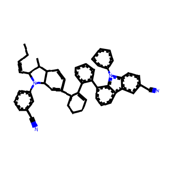 CC/C=C\C1C(C)C2C=CC(C3CCCC=C3c3ccccc3-c3cccc4c5cc(C#N)ccc5n(-c5ccccc5)c34)=CC2N1c1cccc(C#N)c1